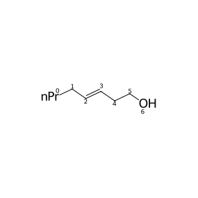 CCCCC=CCCO